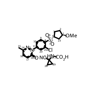 CO[C@@H]1CC[C@@H](S(=O)(=O)c2ccc(-n3nc(C)ccc3=O)cc2Cl)C1.N#CC1(NC(=O)O)CC1